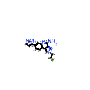 Nc1nc2cc(-c3ccn[nH]3)ccc2c2cn(CCF)nc12